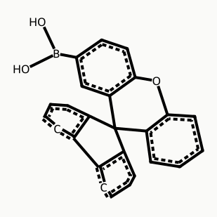 OB(O)c1ccc2c(c1)C1(c3ccccc3O2)c2ccccc2-c2ccccc21